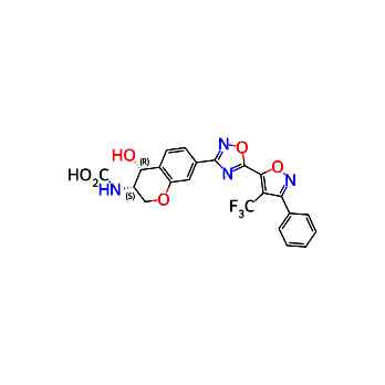 O=C(O)N[C@H]1COc2cc(-c3noc(-c4onc(-c5ccccc5)c4C(F)(F)F)n3)ccc2[C@H]1O